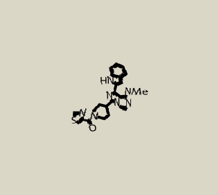 CNc1nccn2c(C3CCN(C(=O)c4cscn4)CC3)nc(-c3cc4ccccc4[nH]3)c12